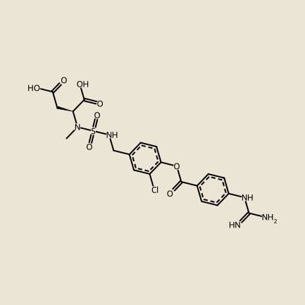 CN([C@@H](CC(=O)O)C(=O)O)S(=O)(=O)NCc1ccc(OC(=O)c2ccc(NC(=N)N)cc2)c(Cl)c1